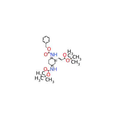 CC(C)(C)OC(=O)C=C[C@@H]1C[C@H](NC(=O)OC(C)(C)C)CC[C@@H]1NC(=O)OCc1ccccc1